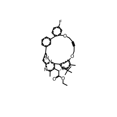 CCOC(=O)[C@@H](OC(C)(C)C)c1c(C)nc2cc3nn2c1-c1ccc(C)c(c1)OCC#CCOc1cc(F)ccc1-c1cccc-3c1